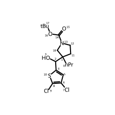 CCCC1(C(O)c2cc(Cl)c(Cl)s2)CCN(C(=O)OC(C)(C)C)C1